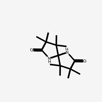 CC1(C)C(=O)NC2(NC(=O)C(C)(C)C2(C)C)C1(C)C